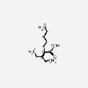 CCC(CC)=C(CCCCN)C(=O)O